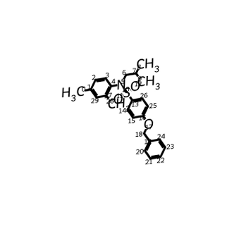 Cc1ccc(N(CC(C)C)S(=O)(=O)c2ccc(OCc3ccccc3)cc2)c(C)c1